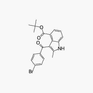 Cc1[nH]c2cccc(C(=O)OC(C)(C)C)c2c1C(=O)c1ccc(Br)cc1